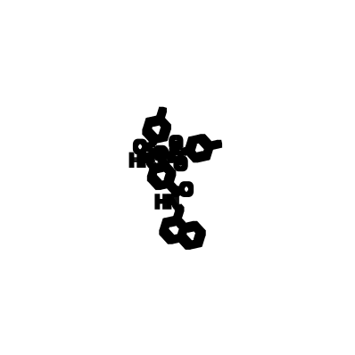 Cc1ccc(S(=O)(=O)Nc2ccc(C(=O)NCc3cccc4ccccc34)cc2NS(=O)(=O)c2ccc(C)cc2)cc1